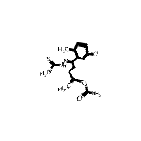 Cc1ccc(Cl)cc1C(CCC(C)OC(N)=O)=NNC(N)=S